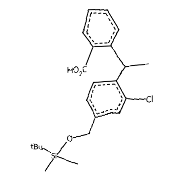 CC(c1ccc(CO[Si](C)(C)C(C)(C)C)cc1Cl)c1ccccc1C(=O)O